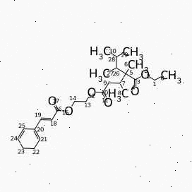 CCOC(=O)C(C)(C(C)CC(=O)OCCOC(=O)/C=C/C1=CCCC=C1)C(C)C(C)C